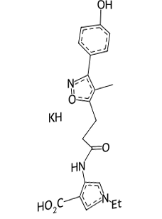 CCn1cc(NC(=O)CCc2onc(-c3ccc(O)cc3)c2C)c(C(=O)O)c1.[KH]